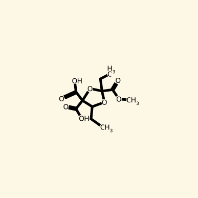 CCC1OC(CC)(C(=O)OC)OC1(C(=O)O)C(=O)O